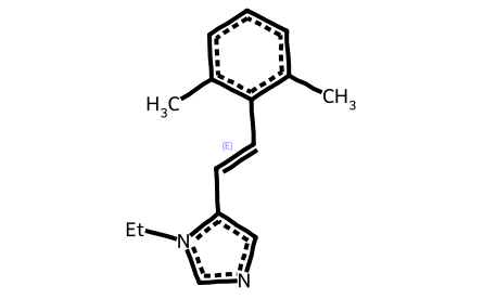 CCn1cncc1/C=C/c1c(C)cccc1C